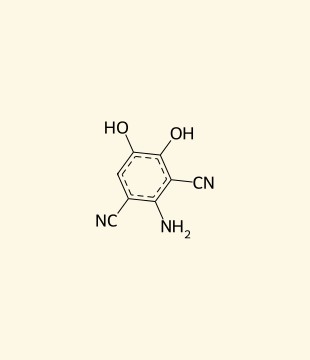 N#Cc1cc(O)c(O)c(C#N)c1N